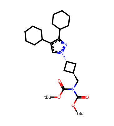 CC(C)(C)OC(=O)N(C[C@H]1C[C@H](n2cc(C3CCCCC3)c(C3CCCCC3)n2)C1)C(=O)OC(C)(C)C